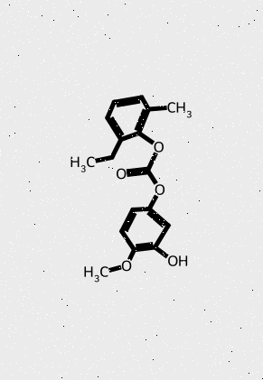 CCc1cccc(C)c1OC(=O)Oc1ccc(OC)c(O)c1